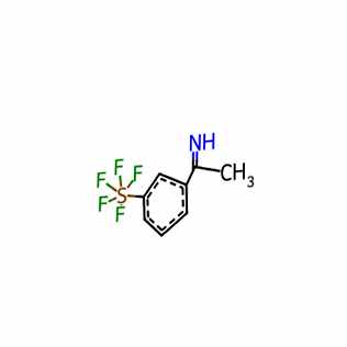 CC(=N)c1cccc(S(F)(F)(F)(F)F)c1